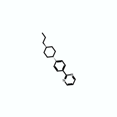 CCC[C@H]1CC[C@H](c2ccc(-c3ncccn3)cc2)CC1